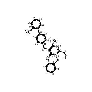 CCCCc1nc(CF)n(Cc2ccccc2)c(=O)c1Cc1ccc(-c2ccccc2C#N)cc1